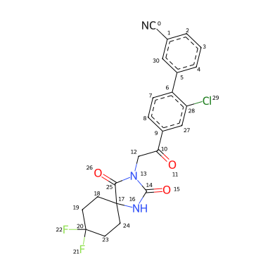 N#Cc1cccc(-c2ccc(C(=O)CN3C(=O)NC4(CCC(F)(F)CC4)C3=O)cc2Cl)c1